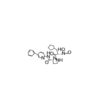 O=CN(O)C[C@@H](CC1CCCC1)C(=O)N1NCC[C@H]1C(=O)Nc1ccc(-c2ccccc2)cn1